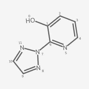 Oc1cccnc1-n1nccn1